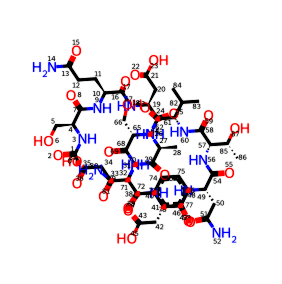 CC(=O)N[C@@H](CO)C(=O)N[C@@H](CCC(N)=O)C(=O)N[C@@H](CC(=O)O)C(=O)N[C@@H](C)C(=O)N[C@@H](CCC(=O)O)C(=O)N[C@@H](CC(=O)O)C(=O)N[C@@H](CC(N)=O)C(=O)N[C@H](C(=O)N[C@H](C(=O)N[C@@H](CO)C(=O)N[C@@H](Cc1ccccc1)C(N)=O)C(C)C)[C@@H](C)O